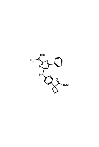 COC(=O)C1(c2ccc(Nc3cc(-c4ccccc4)nc(N(C)C(C)(C)C)n3)cc2)CCC1